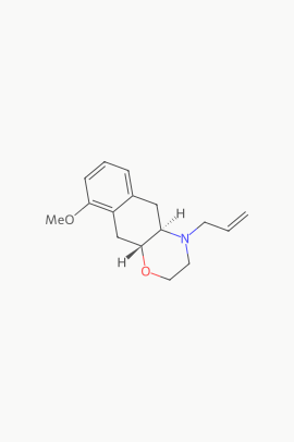 C=CCN1CCO[C@@H]2Cc3c(cccc3OC)C[C@H]21